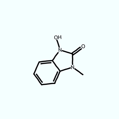 Cn1c(=O)n(O)c2ccccc21